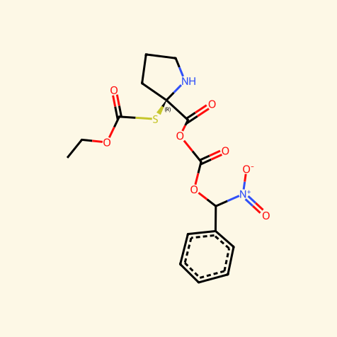 CCOC(=O)S[C@@]1(C(=O)OC(=O)OC(c2ccccc2)[N+](=O)[O-])CCCN1